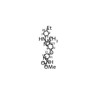 CCc1ccc(Nc2nc3cc(Oc4ccnc(NC(=O)OC)c4)ccc3n2C)cc1